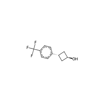 O[C@H]1C[C@H](c2ccc(C(F)(F)F)cc2)C1